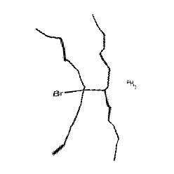 CCCCC(CCCC)C(Br)(CCCC)CCCC.P